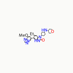 CCc1cc2c(cc1-c1cc(OC)c3ncnn3c1)[nH]c(=O)n2C1CCC(NC2CCOCC2)CC1